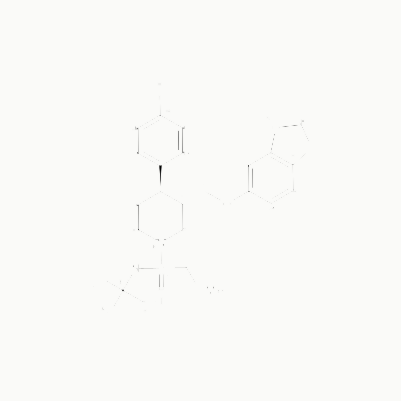 COCP(=O)(NC(C)(C(=O)O)C(C)C)N1CC[C@@H](c2ccc(F)cc2)[C@H](COc2ccc3c(c2)OCO3)C1